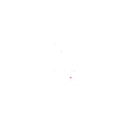 COC(=O)c1c(C)nc(OC[C@]2(CN(C)C)CC2(F)F)nc1N1CC2CCC(C)(C1)N2C(=O)O